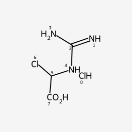 Cl.N=C(N)NC(Cl)C(=O)O